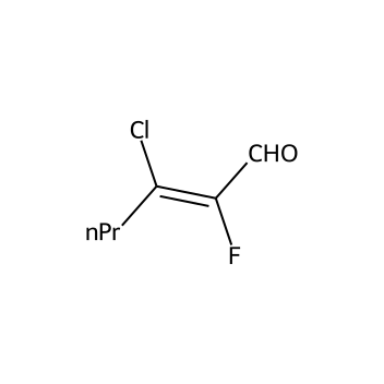 CCCC(Cl)=C(F)C=O